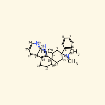 CC1CC(c2ccccc2)(N(C)C)CCC12CCCc1c2[nH]c2ncccc12